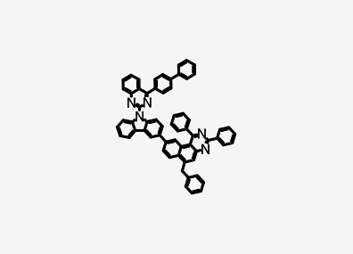 c1ccc(Cc2cc3nc(-c4ccccc4)nc(-c4ccccc4)c3c3cc(-c4ccc5c(c4)c4ccccc4n5-c4nc(-c5ccc(-c6ccccc6)cc5)c5ccccc5n4)ccc23)cc1